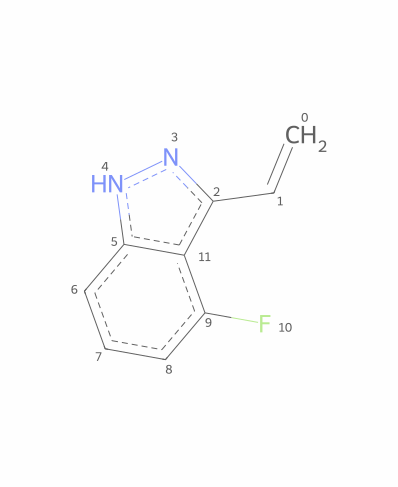 C=Cc1n[nH]c2cccc(F)c12